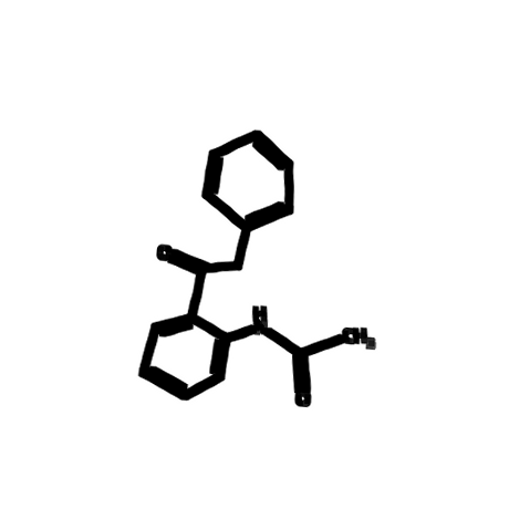 CC(=O)Nc1ccccc1C(=O)Cc1ccccc1